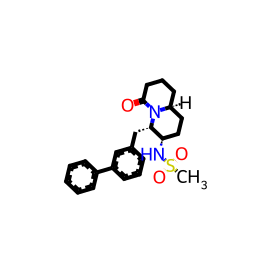 CS(=O)(=O)N[C@H]1CC[C@@H]2CCCC(=O)N2[C@H]1Cc1cccc(-c2ccccc2)c1